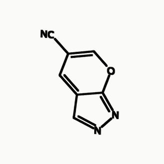 N#Cc1coc2nncc-2c1